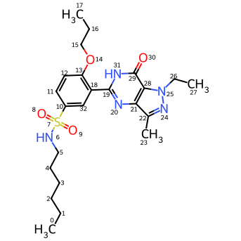 CCCCCCNS(=O)(=O)c1ccc(OCCC)c(-c2nc3c(C)nn(CC)c3c(=O)[nH]2)c1